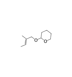 CC=C(C)COC1CCCCO1